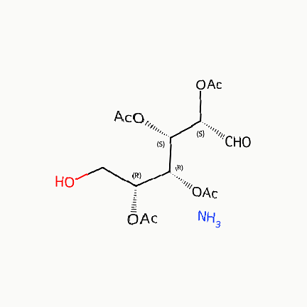 CC(=O)O[C@@H]([C@H](OC(C)=O)[C@@H](CO)OC(C)=O)[C@@H](C=O)OC(C)=O.N